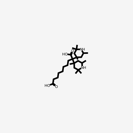 CC1CC(C)(C(CCCCCCCC(=O)O)(C(=O)O)C2(C)CC(C)NC(C)(C)C2)CC(C)(C)N1